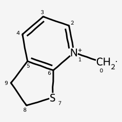 [CH2][n+]1cccc2c1SCC2